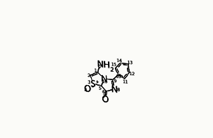 NC1=C[S+]([O-])C2C(=O)N=C(c3ccccc3)N12